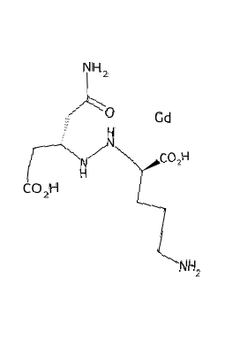 NCCC[C@@H](NN[C@@H](CC(N)=O)CC(=O)O)C(=O)O.[Gd]